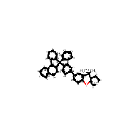 CC1(C)c2ccccc2Oc2ccc(-c3ccc(C4(c5ccccc5)c5ccccc5-c5c4ccc4ccccc54)cc3)cc21